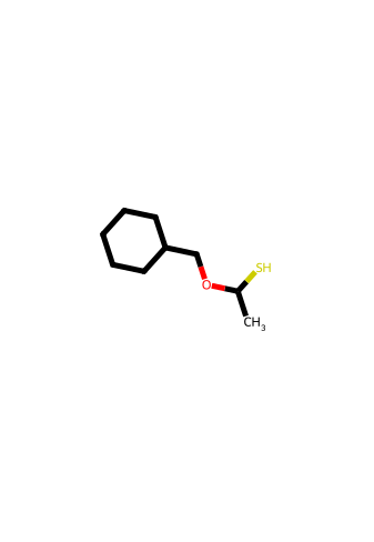 CC(S)OCC1CCCCC1